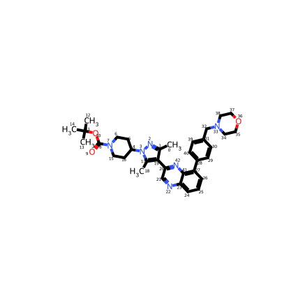 Cc1nn(C2CCN(C(=O)OC(C)(C)C)CC2)c(C)c1-c1cnc2cccc(-c3ccc(CN4CCOCC4)cc3)c2n1